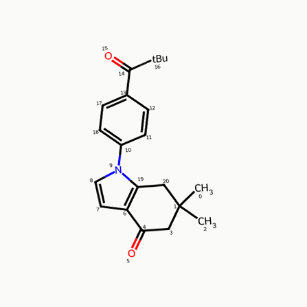 CC1(C)CC(=O)c2ccn(-c3ccc(C(=O)C(C)(C)C)cc3)c2C1